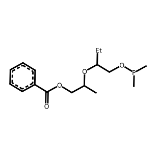 CCC(COP(C)C)OC(C)COC(=O)c1ccccc1